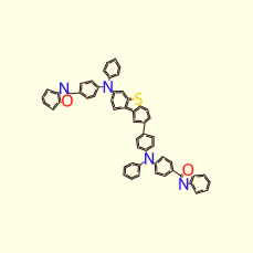 c1ccc(N(c2ccc(-c3ccc4sc5cc(N(c6ccccc6)c6ccc(-c7nc8ccccc8o7)cc6)ccc5c4c3)cc2)c2ccc(-c3nc4ccccc4o3)cc2)cc1